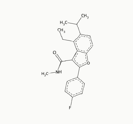 CCc1c(C(C)C)ccc2oc(-c3ccc(F)cc3)c(C(=O)NC)c12